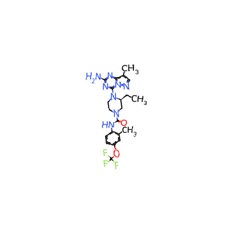 CC[C@H]1CN(C(=O)Nc2ccc(OC(F)(F)F)cc2C)CCN1c1nc(N)nc2c(C)cnn12